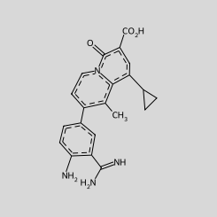 Cc1c(-c2ccc(N)c(C(=N)N)c2)ccn2c(=O)c(C(=O)O)cc(C3CC3)c12